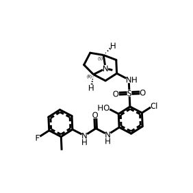 Cc1c(F)cccc1NC(=O)Nc1ccc(Cl)c(S(=O)(=O)NC2C[C@H]3CC[C@@H](C2)N3C)c1O